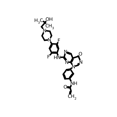 C=CC(=O)Nc1cccc(-n2cnc(=O)c3cnc(Nc4cc(F)c(N5CCN(CC(C)(C)O)CC5)cc4F)nc32)c1